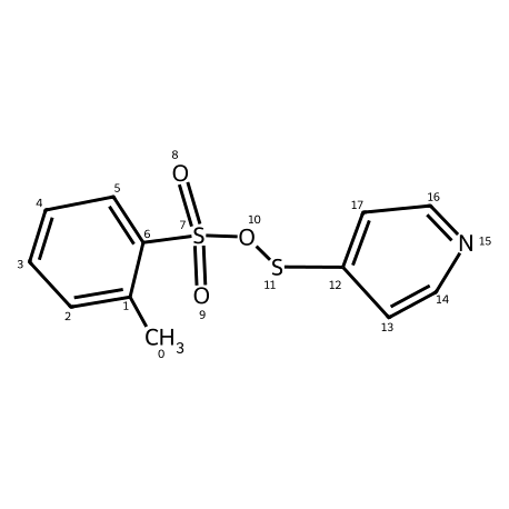 Cc1ccccc1S(=O)(=O)OSc1ccncc1